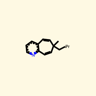 CC(C)CC1(C)C=Cc2cccnc2C=C1